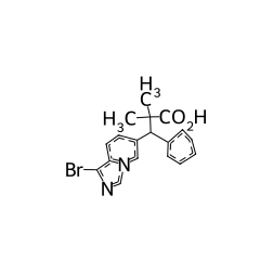 CC(C)(C(=O)O)C(c1ccccc1)c1ccc2c(Br)ncn2c1